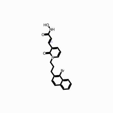 O=C(/C=C/c1cccn(CCCc2ccc3ccccc3c2Br)c1=O)NO